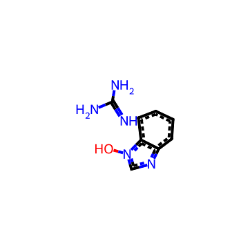 N=C(N)N.On1cnc2ccccc21